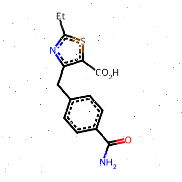 CCc1nc(Cc2ccc(C(N)=O)cc2)c(C(=O)O)s1